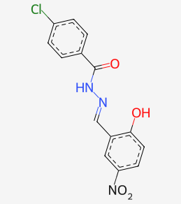 O=C(NN=Cc1cc([N+](=O)[O-])ccc1O)c1ccc(Cl)cc1